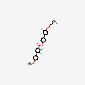 C=CCCOc1ccc(-c2ccc(OC(=O)c3ccc(-c4ccc(OCCCC)cc4)c(F)c3F)cc2)cc1F